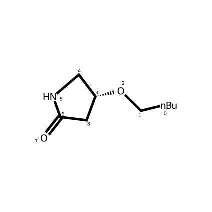 CCCCCO[C@H]1CNC(=O)C1